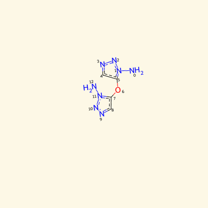 Nn1nncc1Oc1cnnn1N